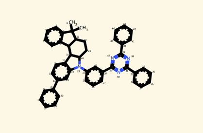 CC1(C)c2ccccc2C2C3c4ccc(-c5ccccc5)cc4N(c4cccc(-c5nc(-c6ccccc6)nc(-c6ccccc6)n5)c4)C3CCC21